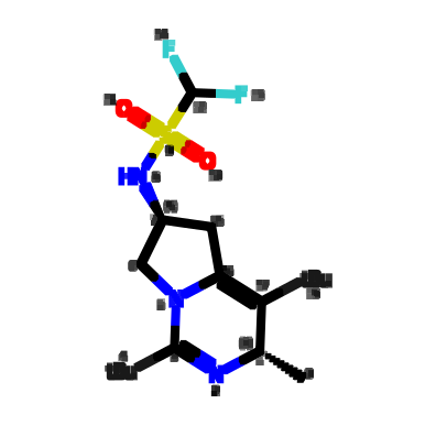 C[C@@H]1N=C(C(C)(C)C)N2C[C@@H](NS(=O)(=O)C(F)F)CC2=C1C(C)(C)C